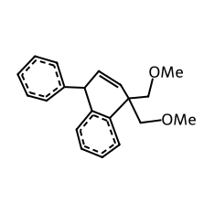 COCC1(COC)C=CC(c2ccccc2)c2ccccc21